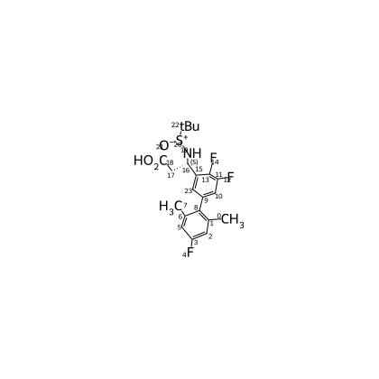 Cc1cc(F)cc(C)c1-c1cc(F)c(F)c([C@H](CC(=O)O)N[S+]([O-])C(C)(C)C)c1